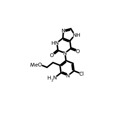 COCCc1c(-n2c(=O)[nH]c3nc[nH]c3c2=O)cc(Cl)nc1N